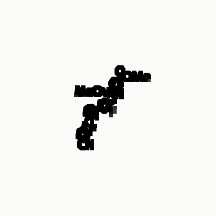 COCCn1c(Cc2ccc(-c3cccc(OCc4ccc(C#N)cc4F)n3)cc2F)nc2cc(C(=O)OC)ccc21